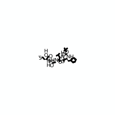 CSCC[C@H](N[Se]C(=O)CNC(=O)[C@@H](NC(=O)[C@H](Cc1ccccc1)NC(=O)OC(C)(C)C)C(C)C)C(=O)O